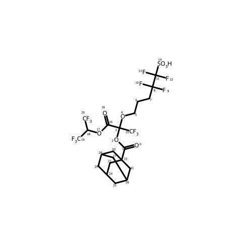 O=C(OC(OCCCC(F)(F)C(F)(F)S(=O)(=O)O)(C(=O)OC(C(F)(F)F)C(F)(F)F)C(F)(F)F)C12CC3CC(CC(C3)C1)C2